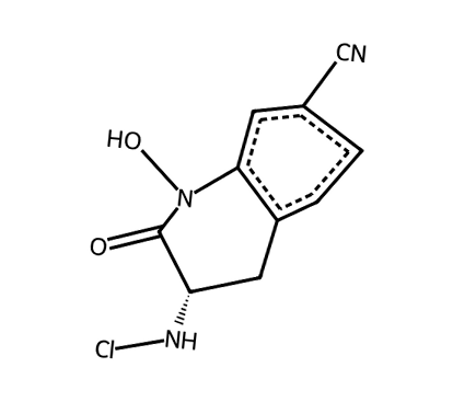 N#Cc1ccc2c(c1)N(O)C(=O)[C@@H](NCl)C2